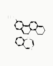 C1=CNc2ccccc2C=N1.Cc1ccc2c(c1)=c1ccc3c(c1CC=2)CCCC=3